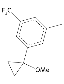 COC1(c2cc(C)cc(C(F)(F)F)c2)CC1